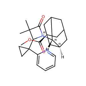 COC(=O)[C@]12CC3CC(C1)[C@@H](N1C(=O)C(C)(C)C1C1(c4ccccn4)CC1)[C@@H](C3)C2